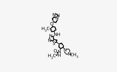 C=CC(=O)Nc1cc(-c2cc3c(Nc4ccc(Oc5ccn6ncnc6c5)c(C)c4)ncnc3s2)ccc1N1CCN(C)CC1